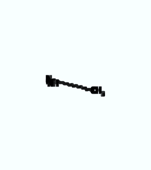 CCCCCCCCCCCCCCCCCCCc1ncc[nH]1